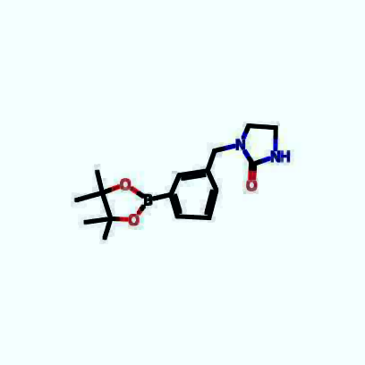 CC1(C)OB(c2cccc(CN3CCNC3=O)c2)OC1(C)C